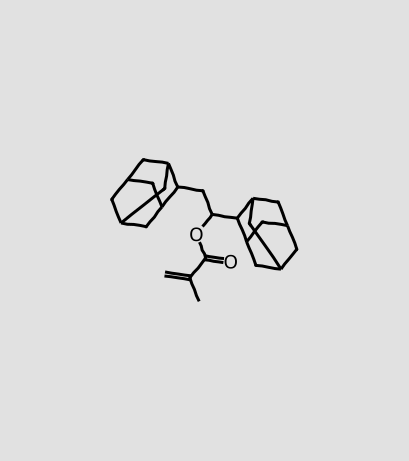 C=C(C)C(=O)OC(CC1C2CC3CC(C2)CC1C3)C1C2CC3CC(C2)CC1C3